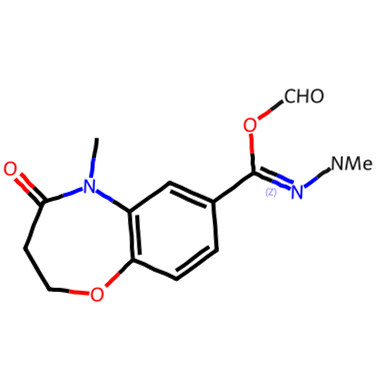 CN/N=C(\OC=O)c1ccc2c(c1)N(C)C(=O)CCO2